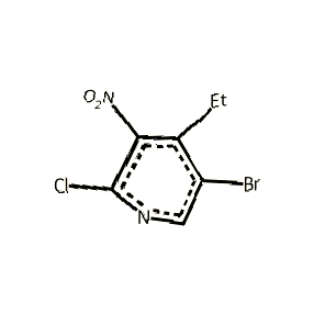 CCc1c(Br)cnc(Cl)c1[N+](=O)[O-]